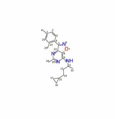 Cc1ccc(-c2noc3c(NC(C)CCC4CC4)nc(C)nc23)c(C)c1